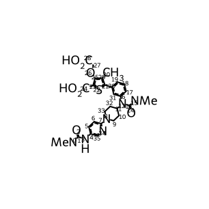 CNC(=O)Nc1ccc(N2CCC(N(C(=O)NC)c3cccc(-c4sc(C(=O)O)c(OCC(=O)O)c4C)c3)CC2)nc1